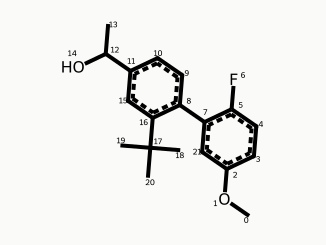 COc1ccc(F)c(-c2ccc(C(C)O)cc2C(C)(C)C)c1